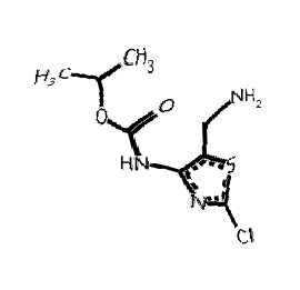 CC(C)OC(=O)Nc1nc(Cl)sc1CN